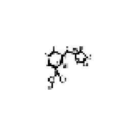 COC(=O)c1cccc(Cc2cccs2)c1